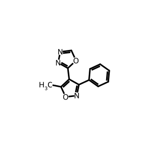 Cc1onc(-c2ccccc2)c1-c1nnco1